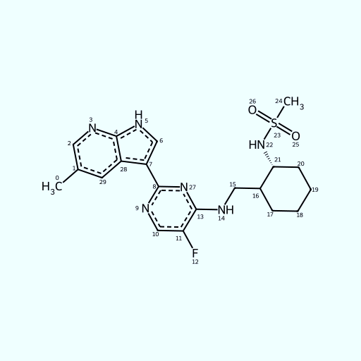 Cc1cnc2[nH]cc(-c3ncc(F)c(NCC4CCCC[C@H]4NS(C)(=O)=O)n3)c2c1